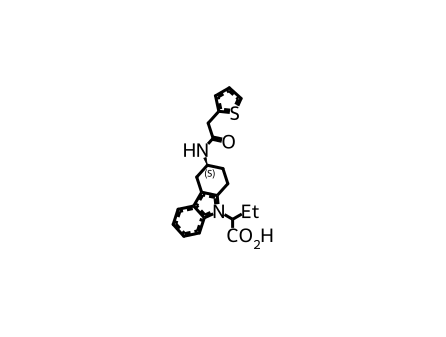 CCC(C(=O)O)n1c2c(c3ccccc31)C[C@@H](NC(=O)Cc1cccs1)CC2